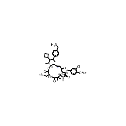 COc1ccc(C[C@@H]2C(=O)N[C@H]3N2C(=O)/C=C/C[C@@H](C(C)C(C2CCC2)C(C)c2ccc(CN)cc2)OC(=O)C(CC(C)(C)C)NC(=O)C3(C)C)cc1Cl